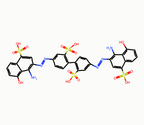 Nc1c(/N=N/c2ccc(-c3ccc(/N=N/c4cc(S(=O)(=O)O)c5cccc(O)c5c4N)cc3S(=O)(=O)O)c(S(=O)(=O)O)c2)cc(S(=O)(=O)O)c2cccc(O)c12